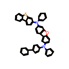 c1ccc(-c2ccc(N(c3ccccc3)c3ccc4oc5cc(N(c6ccccc6)c6ccc7c(c6)sc6ccccc67)ccc5c4c3)cc2)cc1